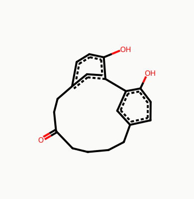 O=C1CCCCc2ccc(O)c(c2)-c2cc(ccc2O)CC1